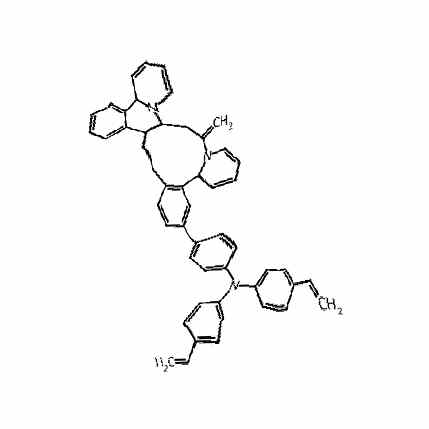 C=Cc1ccc(N(c2ccc(C=C)cc2)c2ccc(-c3ccc4c(c3)C3C=CC=CN3C(=C)CC3C(CC4)c4ccccc4C4C=CC=CN43)cc2)cc1